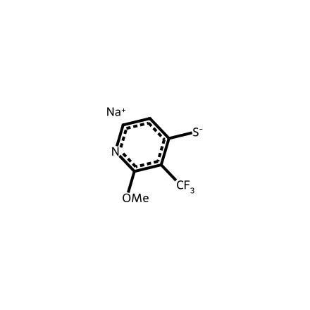 COc1nccc([S-])c1C(F)(F)F.[Na+]